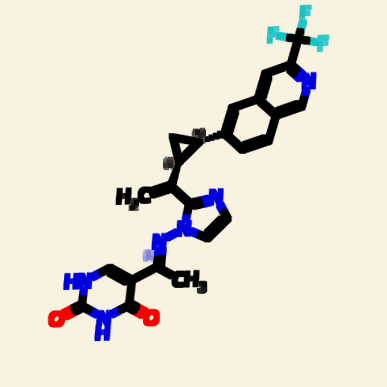 C=C(c1nccn1/N=C(\C)c1c[nH]c(=O)[nH]c1=O)[C@H]1C[C@@H]1c1ccc2cnc(C(F)(F)F)cc2c1